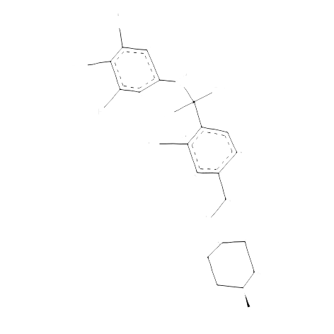 CCC[C@H]1CC[C@H](CCc2ccc(C(F)(F)Oc3cc(F)c(C(F)(F)F)c(F)c3)c(F)c2)CC1